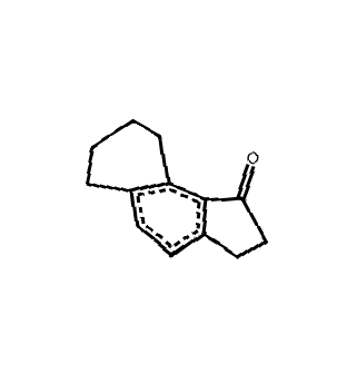 O=C1CCc2ccc3c(c21)CCCC3